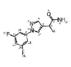 CC(C(N)=O)c1cnn(-c2cc(F)cc(F)c2)c1